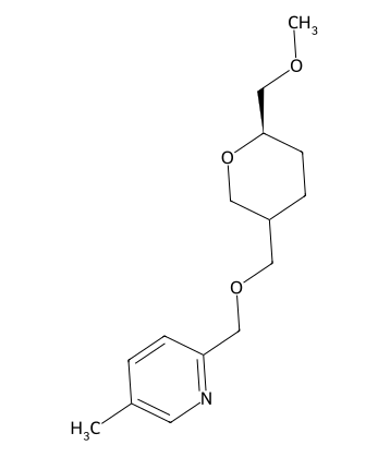 COC[C@H]1CCC(COCc2ccc(C)cn2)CO1